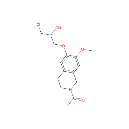 COc1cc2c(cc1OCC(O)CCl)CCN(C(C)=O)C2